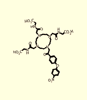 O=C(O)CNC(=O)CN1CCN(CC(=O)NCC(=O)O)CCN(CC(=O)c2ccc(Oc3ccc([N+](=O)[O-])cc3)cc2)CCN(CC(=O)NCC(=O)O)CC1